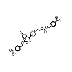 O=C(OCCN1CCN(C(=O)C2CC([S])CN2C(=O)OCc2ccc([N+](=O)[O-])cc2)CC1)OCc1ccc([N+](=O)[O-])cc1